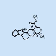 COC(=O)C1=CO[C@@H](C)[C@@H]2CN3CCc4c([nH]c5ccccc45)[C@@H]3C[C@@H]12